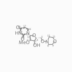 COC1C(O)[C@@H](CON2CCOCC2)O[C@H]1n1ccc(=O)[nH]c1=O